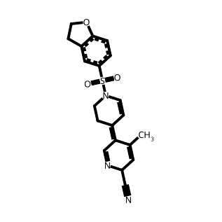 CC1=CC(C#N)N=CC1=C1C=CN(S(=O)(=O)c2ccc3c(c2)CCO3)CC1